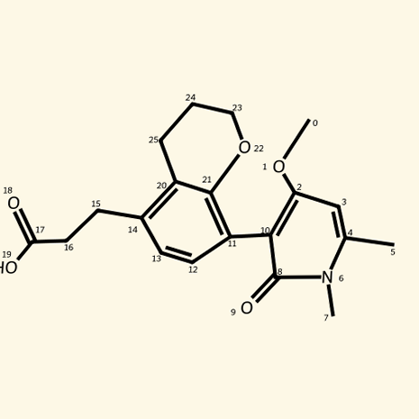 COc1cc(C)n(C)c(=O)c1-c1ccc(CCC(=O)O)c2c1OCCC2